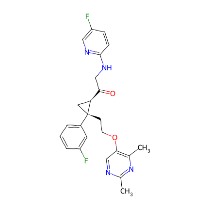 Cc1ncc(OCC[C@@]2(c3cccc(F)c3)C[C@H]2C(=O)CNc2ccc(F)cn2)c(C)n1